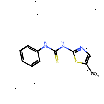 O=[N+]([O-])c1cnc(NC(=S)Nc2ccccc2)s1